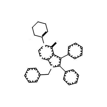 N=c1c2c(-c3ccccc3)c(-c3ccccc3)n(Cc3ccccc3)c2ncn1C1=CCCC[C@H]1O